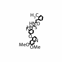 COc1cc2nccc(Oc3ccc(NC(=S)NC(=O)Cc4ccccc4C)c(F)c3)c2cc1OC